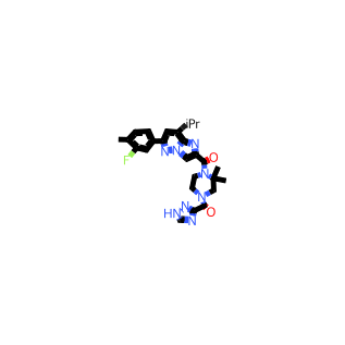 Cc1ccc(-c2cc(C(C)C)c3nc(C(=O)N4CCN(C(=O)c5nc[nH]n5)CC4(C)C)cn3n2)cc1F